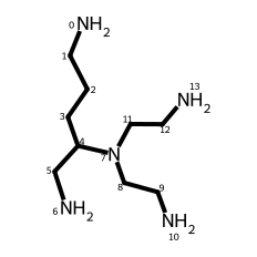 NCCCC(CN)N(CCN)CCN